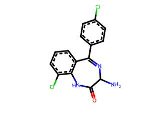 NC1N=C(c2ccc(Cl)cc2)c2cccc(Cl)c2NC1=O